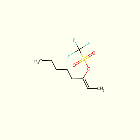 CC=C(CCCCC)OS(=O)(=O)C(F)(F)F